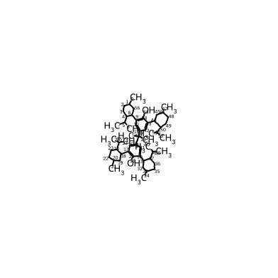 CC1CCC(C(C)C)C(c2cc(C(C)(C)c3cc(C4CC(C)CCC4C(C)C)c(O)c(C4CC(C)CCC4C(C)C)c3)cc(C3CC(C)CCC3C(C)C)c2O)C1